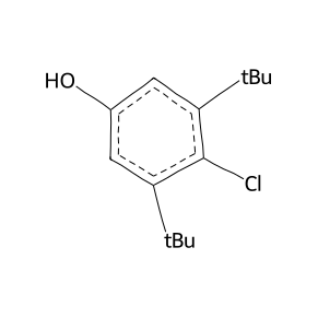 CC(C)(C)c1cc(O)cc(C(C)(C)C)c1Cl